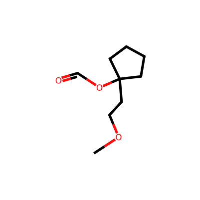 COCCC1(OC=O)CCCC1